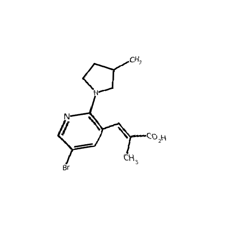 CC(=Cc1cc(Br)cnc1N1CCC(C)C1)C(=O)O